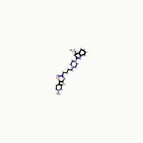 CC(=O)N1CCc2c(sc3c2ONC(CCCCN2CCN(c4cc(C)c5ccccc5n4)CC2)=N3)C1